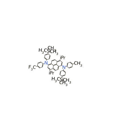 Cc1ccc(N(c2ccc([Si](C)(C)C)cc2)c2cc(C(C)C)c3ccc4c(N(c5ccc(C(F)(F)F)cc5)c5ccc([Si](C)(C)C)cc5)cc(C(C)C)c5ccc2c3c54)cc1